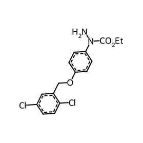 CCOC(=O)N(N)c1ccc(OCc2cc(Cl)ccc2Cl)cc1